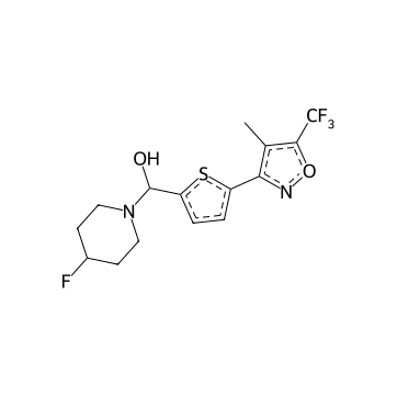 Cc1c(-c2ccc(C(O)N3CCC(F)CC3)s2)noc1C(F)(F)F